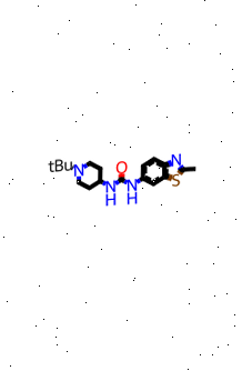 Cc1nc2ccc(NC(=O)NC3CCN(C(C)(C)C)CC3)cc2s1